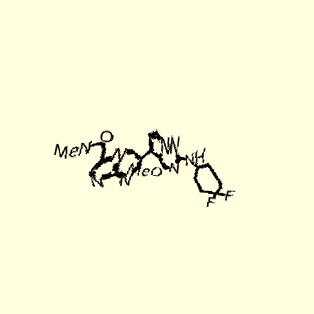 CNC(=O)c1cnc2ncc(-c3ccn4nc(NC5CCC(F)(F)CC5)nc(OC)c34)cn12